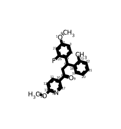 COc1ccc(C(CC(=O)c2ccc(OC)nc2)c2ccccc2C)c(F)c1